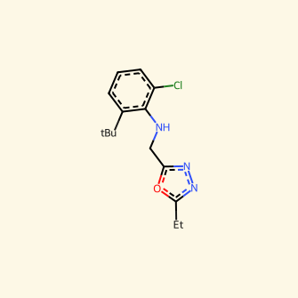 CCc1nnc(CNc2c(Cl)cccc2C(C)(C)C)o1